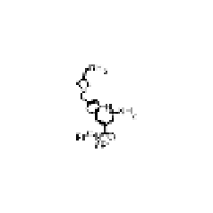 CCCN(OCC)C(=O)C1=Cc2sc(CN3CC(CN)C3)cc2N=C(N)C1